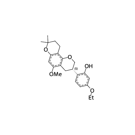 CCOc1ccc([C@H]2COc3c(c(OC)cc4c3CCC(C)(C)O4)C2)c(O)c1